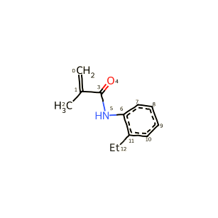 C=C(C)C(=O)Nc1ccccc1CC